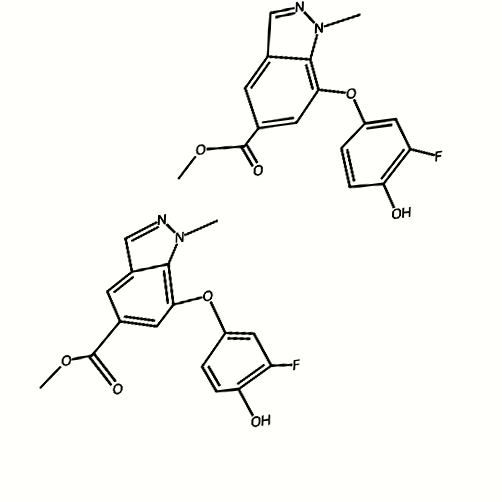 COC(=O)c1cc(Oc2ccc(O)c(F)c2)c2c(cnn2C)c1.COC(=O)c1cc(Oc2ccc(O)c(F)c2)c2c(cnn2C)c1